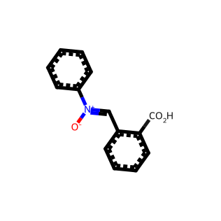 O=C(O)c1ccccc1C=[N+]([O-])c1ccccc1